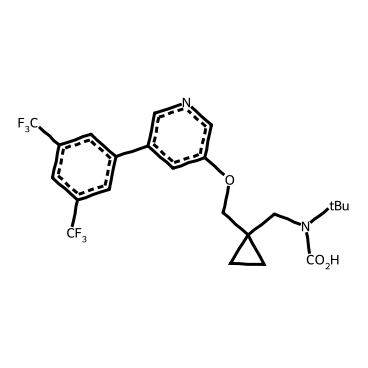 CC(C)(C)N(CC1(COc2cncc(-c3cc(C(F)(F)F)cc(C(F)(F)F)c3)c2)CC1)C(=O)O